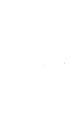 O=c1[nH]c2c(n(CC3CC3)c1=O)CCCC2